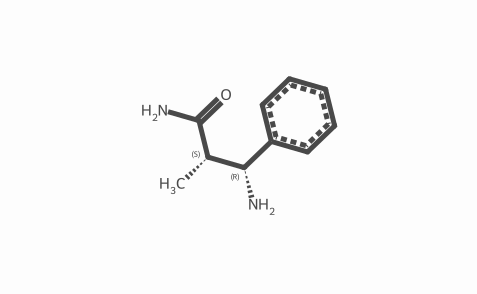 C[C@H](C(N)=O)[C@@H](N)c1ccccc1